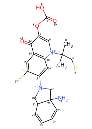 CC(C)(CF)n1cc(OC(=O)O)c(=O)c2cc(F)c(N3CC4C=CC=CC4(N)C3)cc21